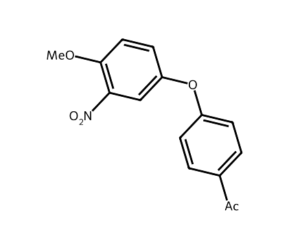 COc1ccc(Oc2ccc(C(C)=O)cc2)cc1[N+](=O)[O-]